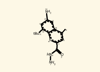 Cc1cc(C(=O)NN)nc2c(C(C)(C)C)cc(N)cc12